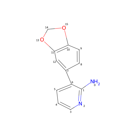 Nc1ncccc1-c1ccc2c(c1)OCO2